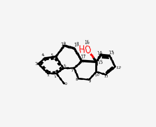 Cc1cccc2c1C1CCC3C=CC=CC3(O)C1CC2